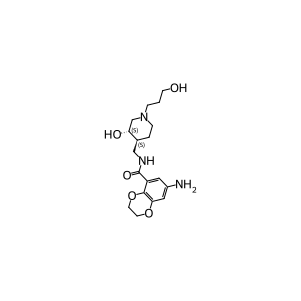 Nc1cc2c(c(C(=O)NC[C@@H]3CCN(CCCO)C[C@H]3O)c1)OCCO2